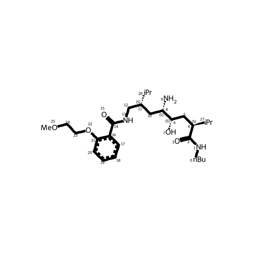 CCCCNC(=O)[C@@H](C[C@H](O)[C@@H](N)C[C@H](CNC(=O)c1ccccc1OCCOC)C(C)C)C(C)C